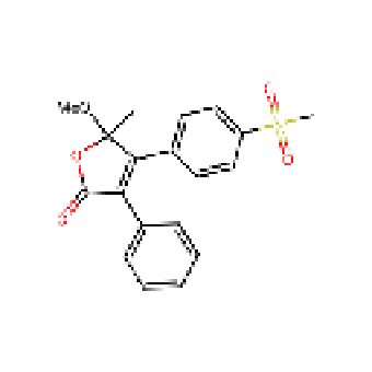 COC1(C)OC(=O)C(c2ccccc2)=C1c1ccc(S(C)(=O)=O)cc1